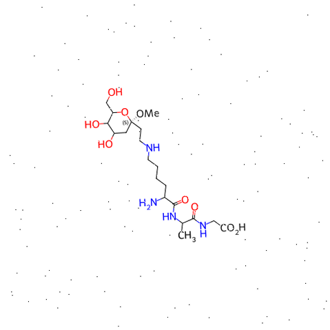 CO[C@]1(CCNCCCCC(N)C(=O)NC(C)C(=O)NCC(=O)O)CC(O)C(O)C(CO)O1